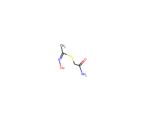 CC(=NO)SCC(N)=O